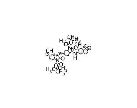 COc1ccc2c(c1)[C@]1(C[C@H]1c1ccc3c(Nc4cc5c(cc4OC)S(=O)(=O)C=C5)nn(C(=O)OC(C)(C)C)c3c1)C(=O)N2C(=O)OC(C)(C)C